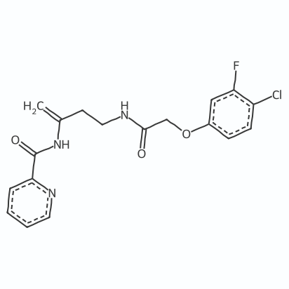 C=C(CCNC(=O)COc1ccc(Cl)c(F)c1)NC(=O)c1ccccn1